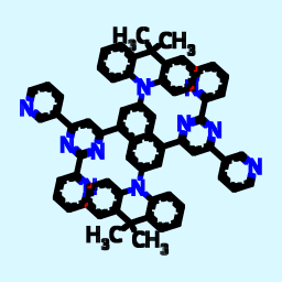 CC1(C)c2ccccc2N(c2cc(-c3cc(-c4cccnc4)nc(-c4ccccn4)n3)c3cc(N4c5ccccc5C(C)(C)c5ccccc54)cc(-c4cc(-c5cccnc5)nc(-c5ccccn5)n4)c3c2)c2ccccc21